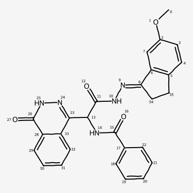 COc1ccc2c(c1)C(=NNC(=O)C(NC(=O)c1ccccc1)c1n[nH]c(=O)c3ccccc13)CC2